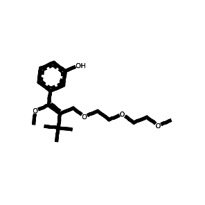 COCCOCCOC/C(=C(/OC)c1cccc(O)c1)C(C)(C)C